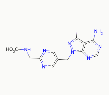 Nc1ncnc2c1c(I)nn2Cc1cnc(CNC(=O)O)nc1